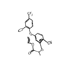 C=COC(=O)C(C)Oc1cc(Oc2ccc(C(F)(F)F)cc2Cl)ccc1C#N